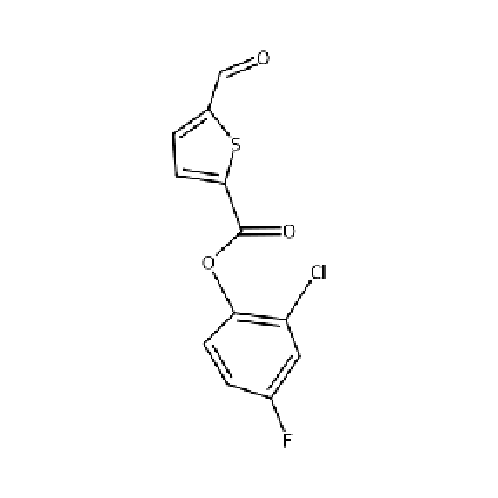 O=Cc1ccc(C(=O)Oc2ccc(F)cc2Cl)s1